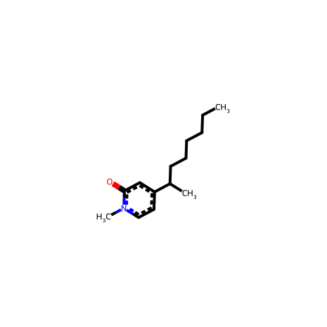 CCCCCCC(C)c1ccn(C)c(=O)c1